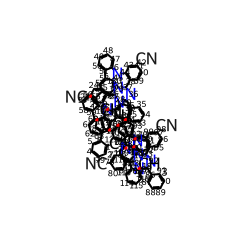 Cc1ccccc1-c1ccc2c(c1)c1ccccc1n2-c1cc(C#N)ccc1-c1nc(-c2ccccc2)nc(-c2ccc(C#N)cc2-n2c3ccccc3c3cc(-c4cccc(-c5cccc(-c6ccc7c8ccccc8n(-c8cc(C#N)ccc8-c8nc(-c9ccccc9)nc(-c9ccc(C#N)cc9-n9c%10ccccc%10c%10ccc(-c%11ccccc%11C)cc%109)n8)c7c6)c5C)c4C)ccc32)n1